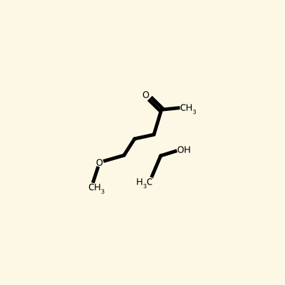 CCO.COCCCC(C)=O